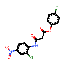 O=C(CC(=O)Oc1ccc(Cl)cc1)Nc1ccc([N+](=O)[O-])cc1Cl